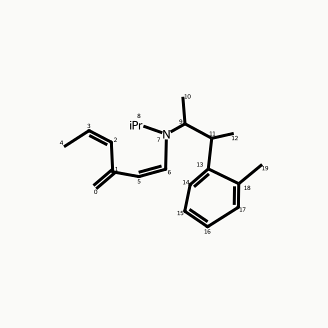 C=C(/C=C\C)/C=C\N(C(C)C)C(C)C(C)c1ccccc1C